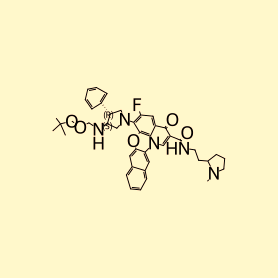 CN1CCCC1CCNC(=O)c1cn2c3c(c(N4C[C@@H](NCOOC(C)(C)C)[C@H](c5ccccc5)C4)c(F)cc3c1=O)Oc1cc3ccccc3cc1-2